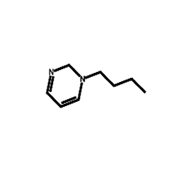 CCCCN1C=CC=NC1